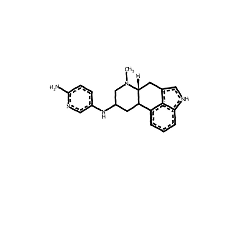 CN1CC(Nc2ccc(N)nc2)CC2c3cccc4[nH]cc(c34)C[C@H]21